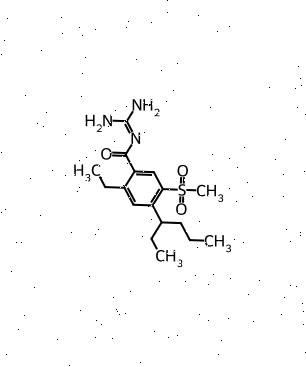 CCCC(CC)c1cc(CC)c(C(=O)N=C(N)N)cc1S(C)(=O)=O